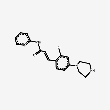 O=C(/C=C/c1ccc(N2CCNCC2)cc1Cl)Nc1ccccn1